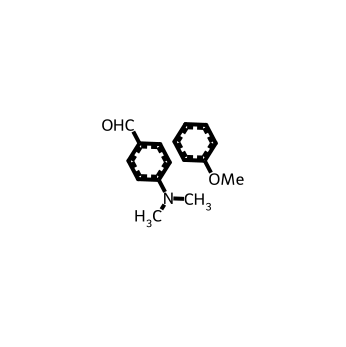 CN(C)c1ccc(C=O)cc1.COc1ccccc1